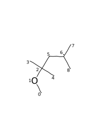 COC(C)(C)C[C](C)C